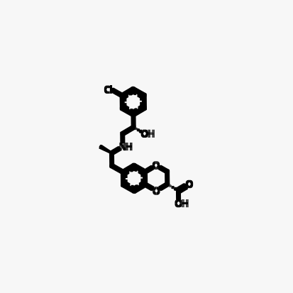 C[C@H](Cc1ccc2c(c1)OC[C@H](C(=O)O)O2)NC[C@@H](O)c1cccc(Cl)c1